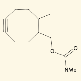 CNC(=O)OCC1CCC#CCCC1C